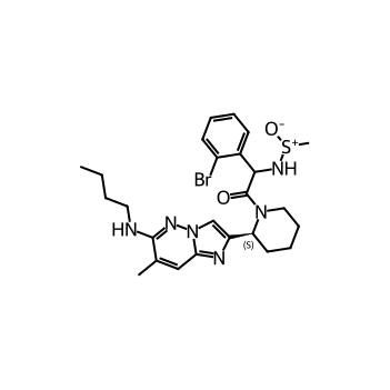 CCCCNc1nn2cc([C@@H]3CCCCN3C(=O)C(N[S+](C)[O-])c3ccccc3Br)nc2cc1C